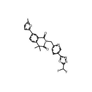 Cc1ccc(-c2ccc3c(c2)C(=O)N(Cc2ccc(-c4nnc(C(F)F)o4)cn2)C(=O)C3(C)C)o1